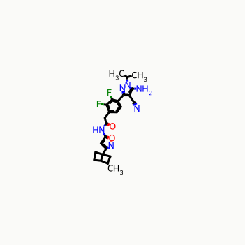 CC1CC2(c3cc(NC(=O)Cc4ccc(-c5nn(C(C)C)c(N)c5C#N)c(F)c4F)on3)CCC12